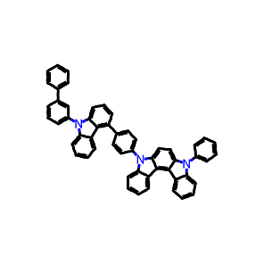 c1ccc(-c2cccc(-n3c4ccccc4c4c(-c5ccc(-n6c7ccccc7c7c8c9ccccc9n(-c9ccccc9)c8ccc76)cc5)cccc43)c2)cc1